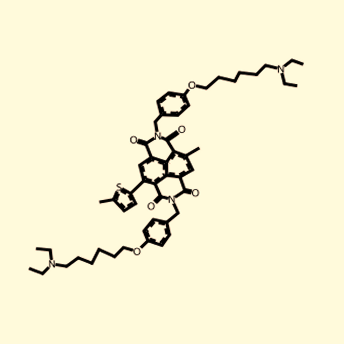 CCN(CC)CCCCCCOc1ccc(CN2C(=O)c3cc(-c4ccc(C)s4)c4c5c(cc(C)c(c35)C2=O)C(=O)N(Cc2ccc(OCCCCCCN(CC)CC)cc2)C4=O)cc1